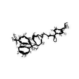 O=C(CCCN1CCC(C(O)(c2ccccc2)c2cccc(C(F)(F)F)c2)CC1)c1ccc(F)cc1